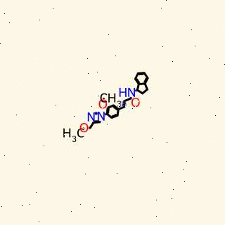 COCc1cn(-c2ccc(/C=C/C(=O)NC3CCc4ccccc43)cc2OC)cn1